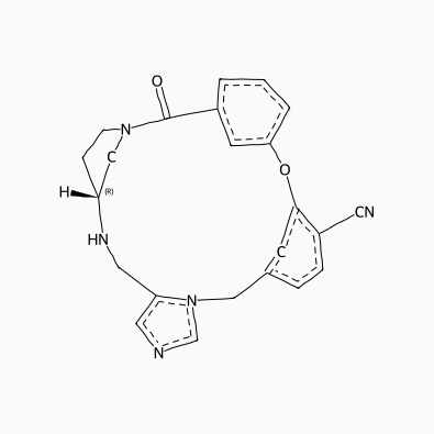 N#Cc1ccc2cc1Oc1cccc(c1)C(=O)N1CC[C@H](C1)NCc1cncn1C2